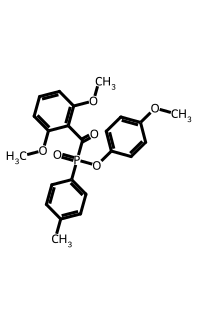 COc1ccc(OP(=O)(C(=O)c2c(OC)cccc2OC)c2ccc(C)cc2)cc1